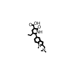 CCc1cc(C(=O)O)c(=O)[nH]c1-c1ccc2c(c1)cc(CN(C)C)n2C